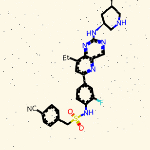 CCc1cc(-c2ccc(NS(=O)(=O)Cc3ccc(C#N)cc3)c(F)c2)nc2cnc(N[C@@H]3CNC[C@H](CF)C3)nc12